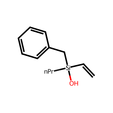 C=C[Si](O)(CCC)Cc1ccccc1